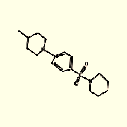 CC1CCN(c2ccc(S(=O)(=O)N3CCCCC3)cc2)CC1